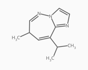 CC1C=Nn2ccnc2C(C(C)C)=C1